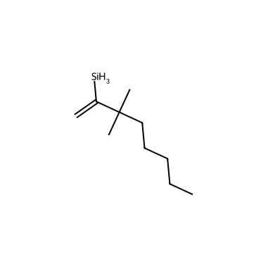 C=C([SiH3])C(C)(C)CCCCC